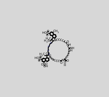 CCC1(C)\C2=C/C=C/C=C/C=C/C3N(CCCCCC(=O)NCC(=N)NCCCCC(C(=O)O)NC(=O)CCCCCN2c2ccc4c(S(=O)(=O)O)cc(S(=O)(=O)O)cc4c21)c1ccc2c(C)cc(S(=O)(=O)O)cc2c1C3(C)CC